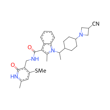 CSc1cc(C)[nH]c(=O)c1CNC(=O)c1c(C)n(C(C)C2CCC(N3CC(C#N)C3)CC2)c2ccccc12